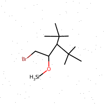 CC(C)(C)C(C(CBr)O[SiH3])C(C)(C)C